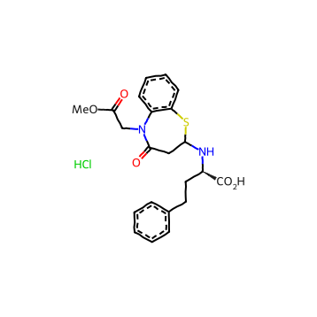 COC(=O)CN1C(=O)CC(N[C@H](CCc2ccccc2)C(=O)O)Sc2ccccc21.Cl